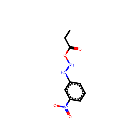 CCC(=O)ONNc1cccc([N+](=O)[O-])c1